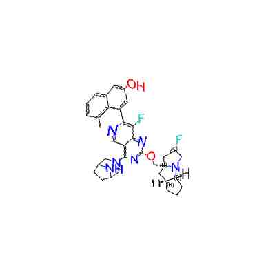 Cc1cccc2cc(O)cc(-c3ncc4c(N5CC6CCC(C5)N6)nc(OC[C@@]56C[C@H](F)CN5[C@@H]5CCC[C@@H]5C6)nc4c3F)c12